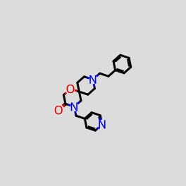 O=C1COC2(CCN(CCc3ccccc3)CC2)CN1Cc1ccncc1